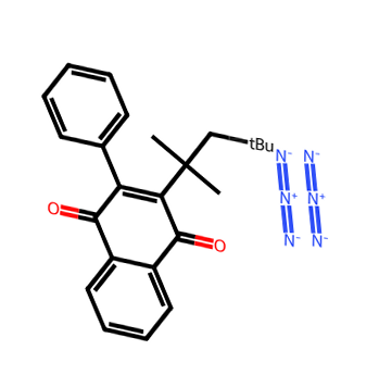 CC(C)(C)CC(C)(C)C1=C(c2ccccc2)C(=O)c2ccccc2C1=O.[N-]=[N+]=[N-].[N-]=[N+]=[N-]